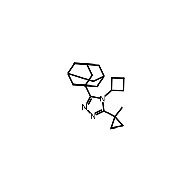 CC1(c2nnc(C34CC5CC(CC(C5)C3)C4)n2C2CCC2)CC1